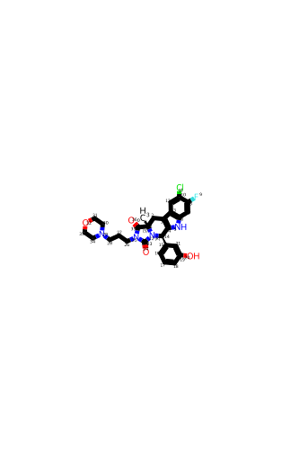 C[C@@]12Cc3c([nH]c4cc(F)c(Cl)cc34)[C@@H](c3cccc(O)c3)N1C(=O)N(CCCN1CCOCC1)C2=O